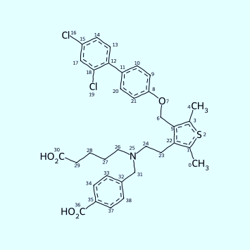 Cc1sc(C)c(COc2ccc(-c3ccc(Cl)cc3Cl)cc2)c1CCN(CCCCC(=O)O)Cc1ccc(C(=O)O)cc1